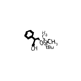 C#CC(CO[Si](C)(C)C(C)(C)C)c1ccccc1